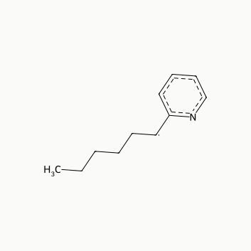 CCCCC[CH]c1ccccn1